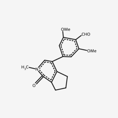 COc1cc(-c2cn(C)c(=O)c3c2CCC3)cc(OC)c1C=O